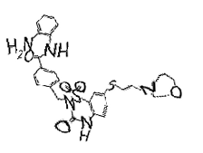 Nc1ccccc1NC(=O)c1ccc(CN2C(=O)Nc3ccc(SCCN4CCOCC4)cc3S2(=O)=O)cc1